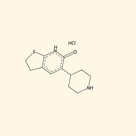 Cl.O=c1[nH]c2c(cc1C1CCNCC1)CCS2